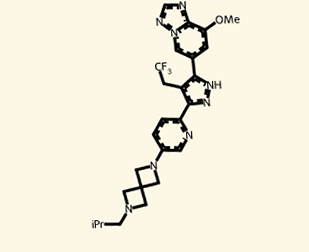 COc1cc(-c2[nH]nc(-c3ccc(N4CC5(CN(CC(C)C)C5)C4)cn3)c2CC(F)(F)F)cn2ncnc12